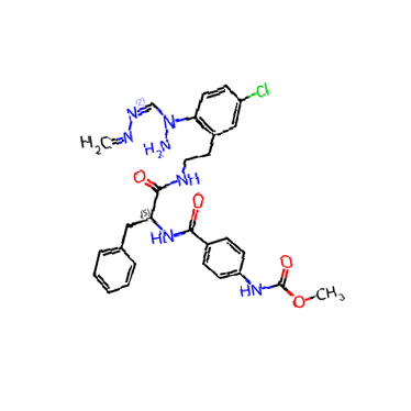 C=N/N=C\N(N)c1ccc(Cl)cc1CCNC(=O)[C@H](Cc1ccccc1)NC(=O)c1ccc(NC(=O)OC)cc1